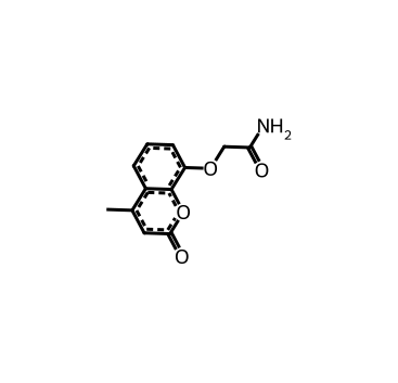 Cc1cc(=O)oc2c(OCC(N)=O)cccc12